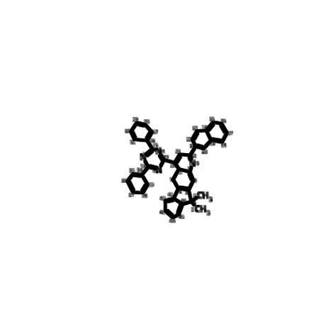 CC1(C)C2=C(CC3C(=C2)N=C(c2ccc4ccccc4c2)C=C3c2nc(-c3ccccc3)nc(-c3ccccc3)n2)c2ccccc21